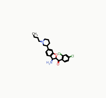 CCCCN1CCCC(c2ccc3c(c2)OC(C(=O)c2ccc(Cl)cc2Cl)C3N)C1